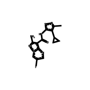 Cc1nsc(NC(=O)c2c(N)nn3cc(F)cnc23)c1C1CC1